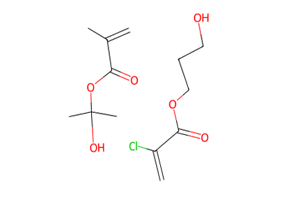 C=C(C)C(=O)OC(C)(C)O.C=C(Cl)C(=O)OCCCO